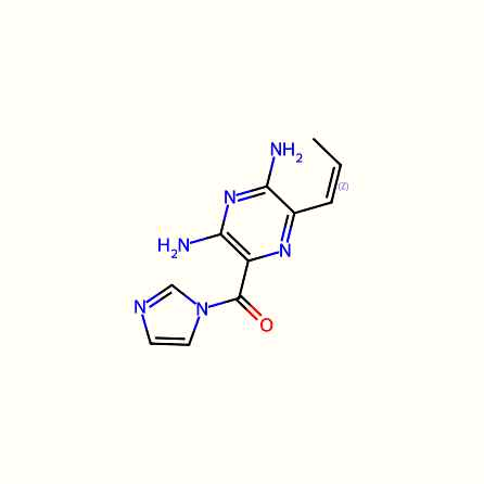 C/C=C\c1nc(C(=O)n2ccnc2)c(N)nc1N